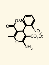 CCOC(=O)C1=C(N)OC(C)=C(C(=O)OC)C1c1ccccc1[N+](=O)[O-]